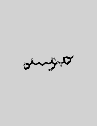 N=C/C(=N\Nc1ccc(F)cc1)C(N)CCCCCC(=O)c1ccon1